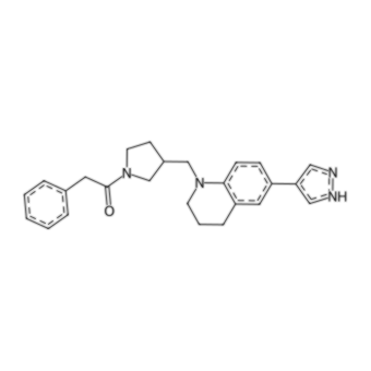 O=C(Cc1ccccc1)N1CCC(CN2CCCc3cc(-c4cn[nH]c4)ccc32)C1